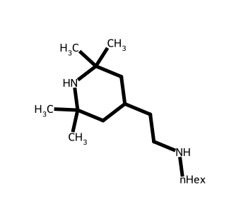 CCCCCCNCCC1CC(C)(C)NC(C)(C)C1